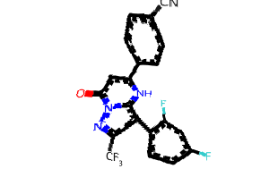 N#Cc1ccc(-c2cc(=O)n3nc(C(F)(F)F)c(-c4ccc(F)cc4F)c3[nH]2)cc1